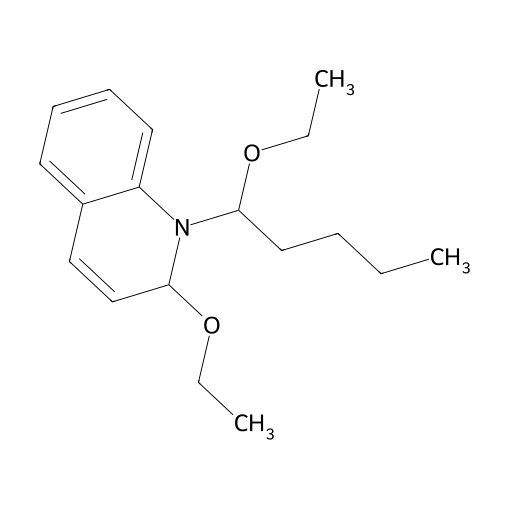 CCCCC(OCC)N1c2ccccc2C=CC1OCC